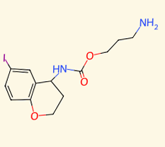 NCCCOC(=O)NC1CCOc2ccc(I)cc21